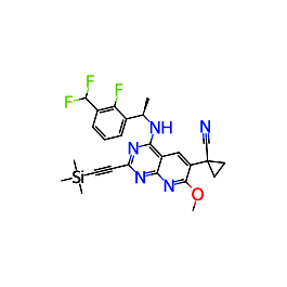 COc1nc2nc(C#C[Si](C)(C)C)nc(N[C@H](C)c3cccc(C(F)F)c3F)c2cc1C1(C#N)CC1